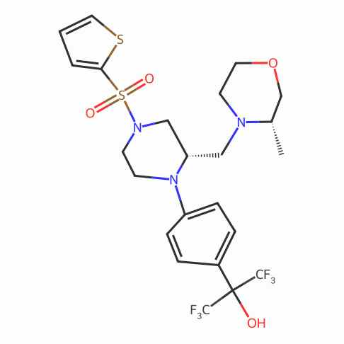 C[C@H]1COCCN1C[C@H]1CN(S(=O)(=O)c2cccs2)CCN1c1ccc(C(O)(C(F)(F)F)C(F)(F)F)cc1